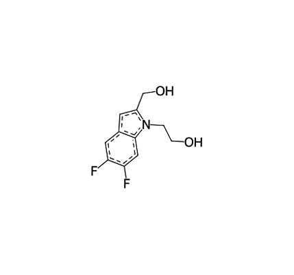 OCCn1c(CO)cc2cc(F)c(F)cc21